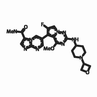 CNC(=O)c1cnc2ncc(-c3c(F)cn4nc(NC5CCN(C6COC6)CC5)nc(OC)c34)cn12